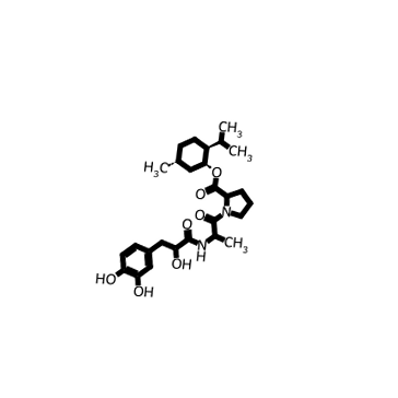 CC(NC(=O)C(O)Cc1ccc(O)c(O)c1)C(=O)N1CCCC1C(=O)O[C@@H]1C[C@H](C)CC[C@H]1C(C)C